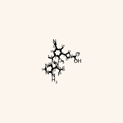 COc1c(C(C)n2nc(C(F)F)c3c(N)ncnc32)cc(C#N)c(C)c1C1CN(C(=O)O)C1